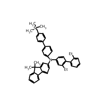 CCc1ccccc1-c1ccc(N(c2ccc(-c3ccc([Si](C)(C)C)cc3)cc2)c2ccc3c(c2)C(C)(C)c2ccccc2-3)cc1CC